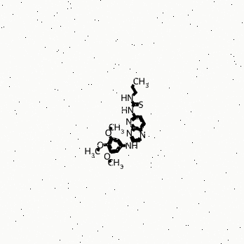 CCCNC(=S)Nc1ccc2ncc(Nc3cc(OC)c(OC)c(OC)c3)nc2n1